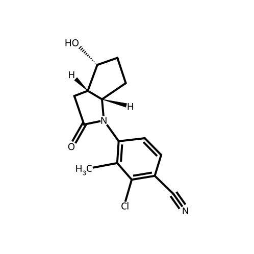 Cc1c(N2C(=O)C[C@@H]3[C@H](O)CC[C@@H]32)ccc(C#N)c1Cl